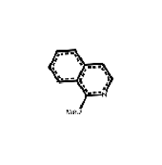 COc1nccc2ccc[c]c12